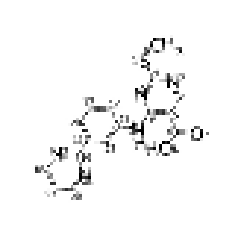 CSc1ncc(C(=O)O)c(Nc2cccc(-c3ncccn3)c2)n1